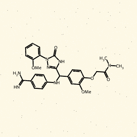 COc1cc(C(Nc2ccc(C(=N)N)cc2)c2nn(-c3ccccc3OC)c(=O)[nH]2)ccc1OCC(=O)N(C)C